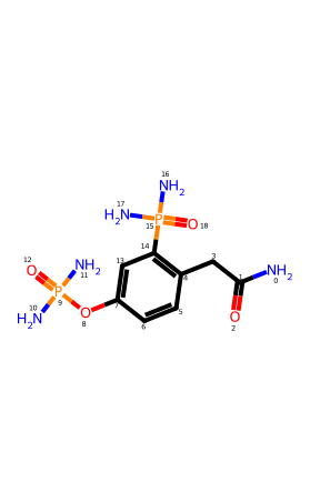 NC(=O)Cc1ccc(OP(N)(N)=O)cc1P(N)(N)=O